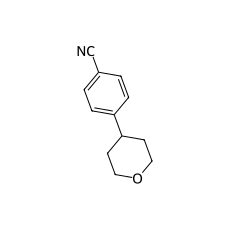 N#Cc1ccc(C2CCOCC2)cc1